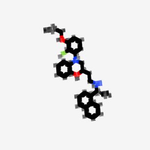 C[C@@H](NCCC1CN(c2cccc(OCC(=O)O)c2F)c2ccccc2O1)c1cccc2ccccc12